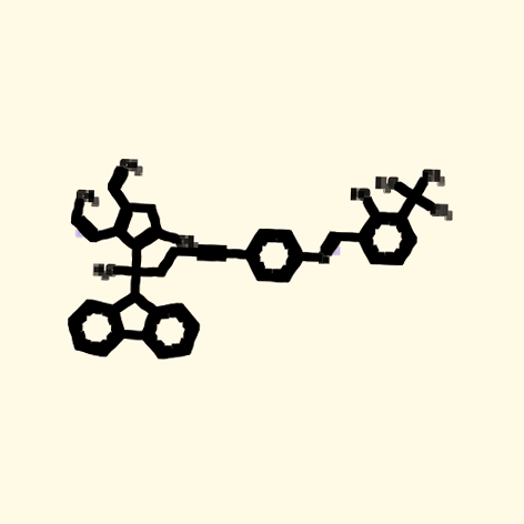 C=CC1=C(/C=C\C)C(C(C)(CCC#Cc2ccc(/N=C/c3cccc(C(C)(C)C)c3O)cc2)C2c3ccccc3-c3ccccc32)=C(C)C1